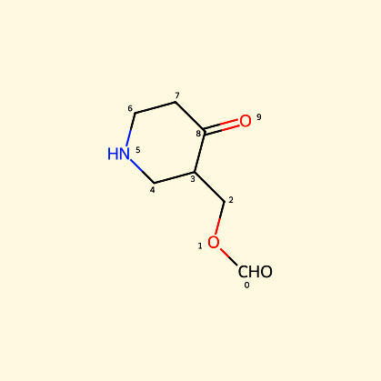 O=COCC1CNCCC1=O